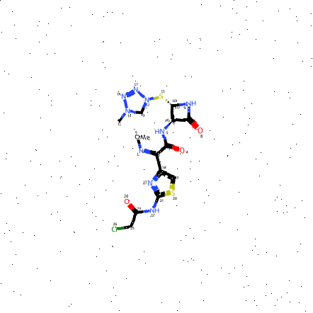 CON=C(C(=O)N[C@@H]1C(=O)N[C@H]1SN1CN(C)N=N1)c1csc(NC(=O)CCl)n1